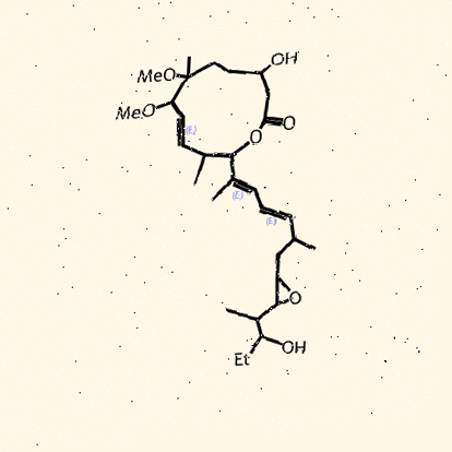 CCC(O)C(C)C1OC1CC(C)/C=C/C=C(\C)C1OC(=O)CC(O)CCC(C)(OC)C(OC)/C=C/C1C